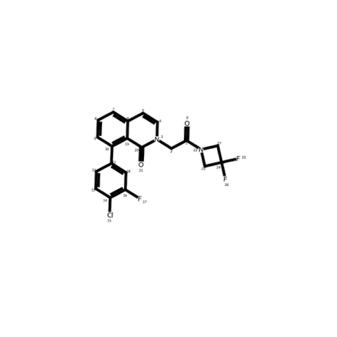 O=C(Cn1ccc2cccc(-c3ccc(Cl)c(F)c3)c2c1=O)N1CC(F)(F)C1